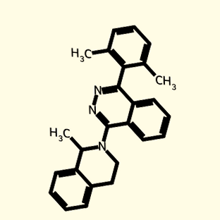 Cc1cccc(C)c1-c1nnc(N2CCc3ccccc3C2C)c2ccccc12